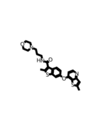 Cc1cc2nccc(Oc3ccc4c(C(=O)NCCCN5CCOCC5)c(C)sc4c3)c2s1